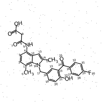 Cc1ccc(NC(=O)CC(=O)O)c2cc(C)n(Cc3ccc(O)c(C(=O)c4ccc(F)cc4)c3)c12